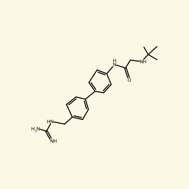 CC(C)(C)NCC(=O)Nc1ccc(-c2ccc(CNC(=N)N)cc2)cc1